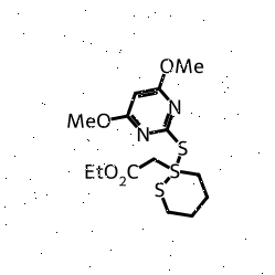 CCOC(=O)CS1(Sc2nc(OC)cc(OC)n2)CCCCS1